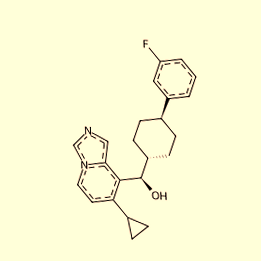 O[C@@H](c1c(C2CC2)ccn2cncc12)[C@H]1CC[C@H](c2cccc(F)c2)CC1